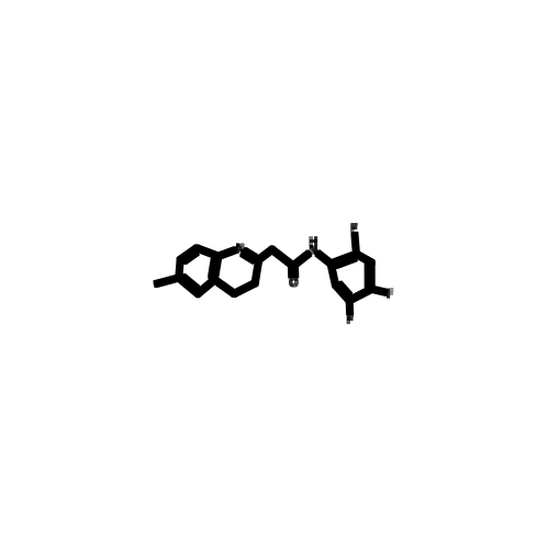 Cc1ccc2c(c1)CCC(CC(=O)Nc1cc(F)c(F)cc1F)=N2